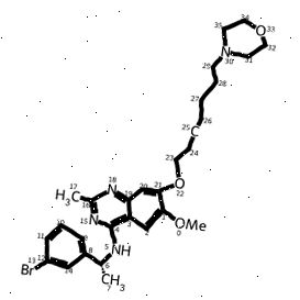 COc1cc2c(N[C@H](C)c3cccc(Br)c3)nc(C)nc2cc1OCCCCCCCN1CCOCC1